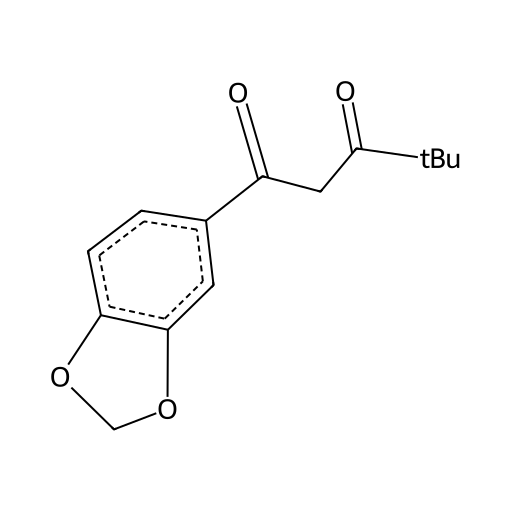 CC(C)(C)C(=O)CC(=O)c1ccc2c(c1)OCO2